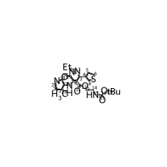 CCn1nc(-c2ccsc2)c(C(=O)OCCNC(=O)OC(C)(C)C)c(Nc2cnccc2C)c1=O